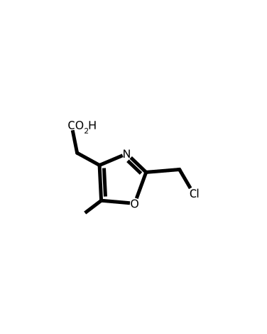 Cc1oc(CCl)nc1CC(=O)O